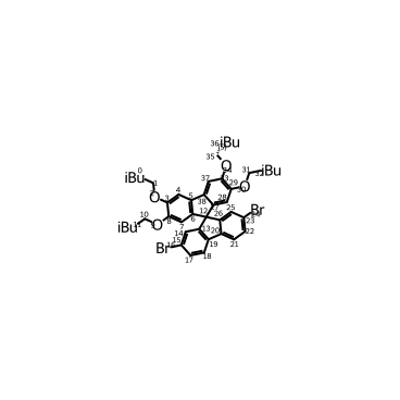 CCC(C)COc1cc2c(cc1OCC(C)CC)C1(c3cc(Br)ccc3-c3ccc(Br)cc31)c1cc(OCC(C)CC)c(OC[C@@H](C)CC)cc1-2